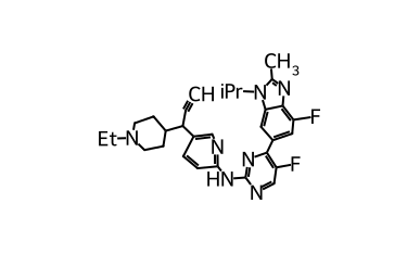 C#CC(c1ccc(Nc2ncc(F)c(-c3cc(F)c4nc(C)n(C(C)C)c4c3)n2)nc1)C1CCN(CC)CC1